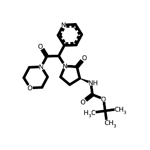 CC(C)(C)OC(=O)N[C@H]1CCN(C(C(=O)N2CCOCC2)c2cccnc2)C1=O